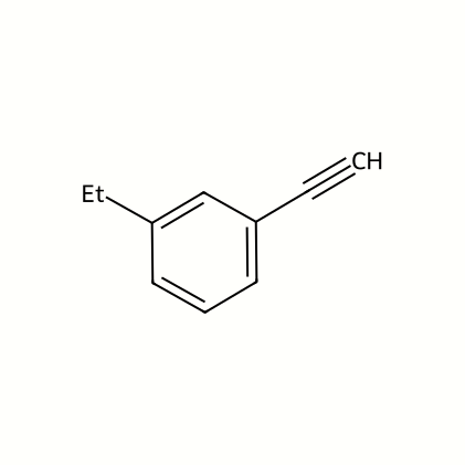 C#Cc1cccc(C[CH2])c1